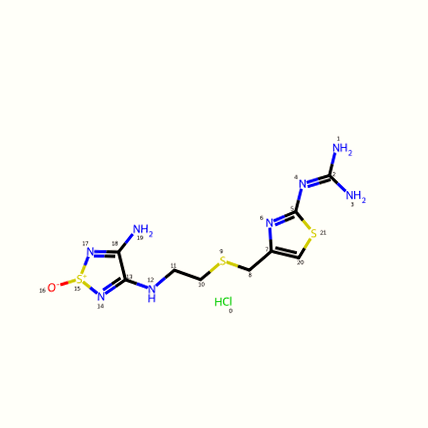 Cl.NC(N)=Nc1nc(CSCCNc2n[s+]([O-])nc2N)cs1